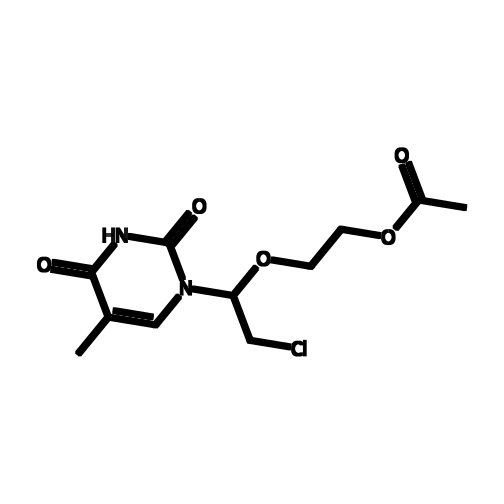 CC(=O)OCCOC(CCl)n1cc(C)c(=O)[nH]c1=O